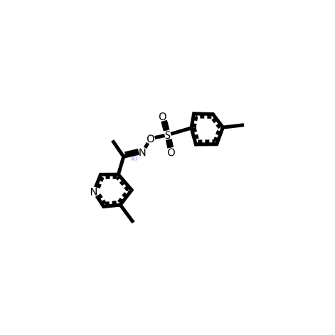 C/C(=N\OS(=O)(=O)c1ccc(C)cc1)c1cncc(C)c1